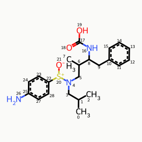 CC(C)CN(CC(C)C(Cc1ccccc1)NC(=O)O)[S+]([O-])c1ccc(N)cc1